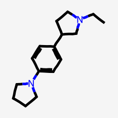 CCN1CCC(c2ccc(N3CCCC3)cc2)C1